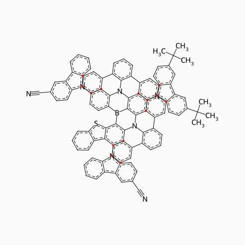 CC(C)(C)c1ccc2c(c1)c1cc(C(C)(C)C)ccc1n2-c1cc2c3c(c1)N(c1c(-c4ccccc4)cccc1-c1ccccc1)c1cc(-n4c5ccccc5c5cc(C#N)ccc54)c4c(sc5ccccc54)c1B3c1ccc(-n3c4ccccc4c4cc(C#N)ccc43)cc1N2c1c(-c2ccccc2)cccc1-c1ccccc1